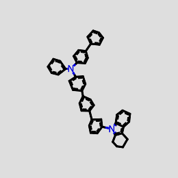 c1ccc(-c2ccc(N(c3ccccc3)c3ccc(-c4ccc(-c5cccc(-n6c7c(c8ccccc86)CCCC7)c5)cc4)cc3)cc2)cc1